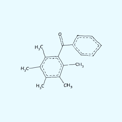 Cc1c(C)c(C)c(C(=O)c2ccccc2)c(C)c1C